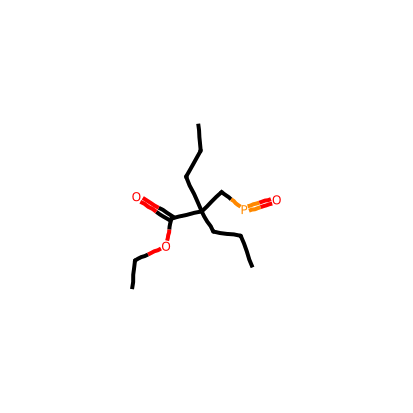 CCCC(CCC)(CP=O)C(=O)OCC